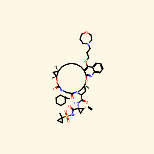 C=C[C@@H]1C[C@]1(NC(=O)[C@@H]1C[C@@H]2CN1C(=O)[C@H](C1(C)CCCCC1)NC(=O)O[C@@H]1C[C@H]1CCCCCc1c(nc3ccccc3c1OCCCN1CCCOCC1)O2)C(=O)NS(=O)(=O)C1(C)CC1